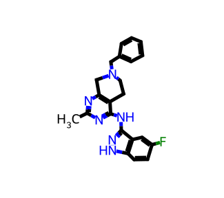 Cc1nc2c(c(Nc3n[nH]c4ccc(F)cc34)n1)CCN(Cc1ccccc1)C2